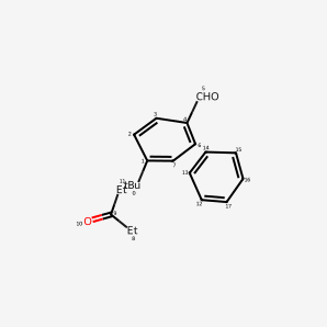 CC(C)(C)c1ccc(C=O)cc1.CCC(=O)CC.c1ccccc1